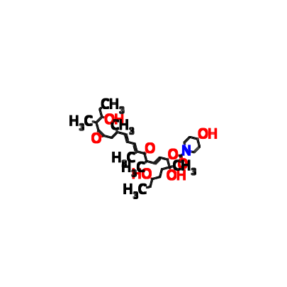 CCC(O)CCC(C)(O)C(/C=C/C(C)C(=O)/C(C)=C/C=C/C(C)CC1OC1C(C)C(O)CC)OC(=O)N1CCC(O)CC1